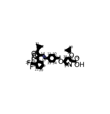 O=C(O)c1ncc(OCC2CCC(/C=C/c3c(-c4ccccc4C(F)(F)F)noc3C3CC3)CC2)cc1OC1CC1